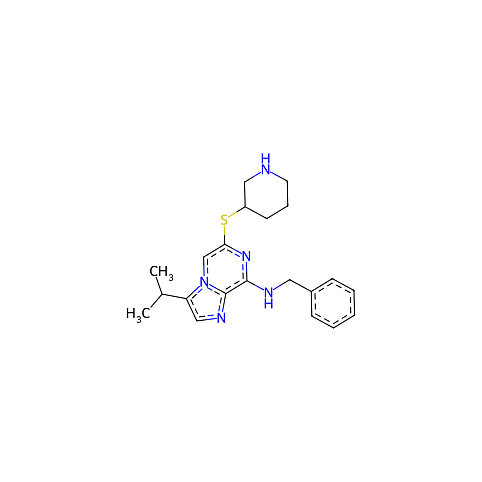 CC(C)c1cnc2c(NCc3ccccc3)nc(SC3CCCNC3)cn12